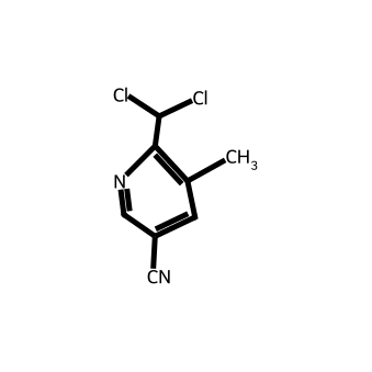 Cc1cc(C#N)cnc1C(Cl)Cl